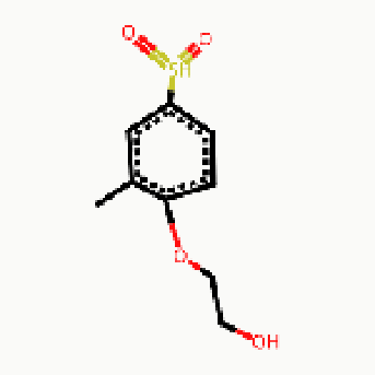 Cc1cc([SH](=O)=O)ccc1OCCO